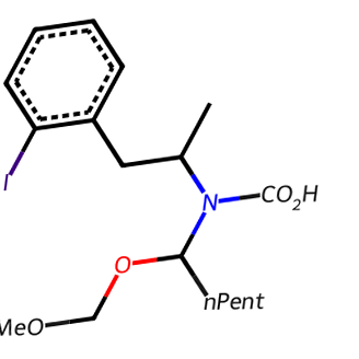 CCCCCC(OCOC)N(C(=O)O)C(C)Cc1ccccc1I